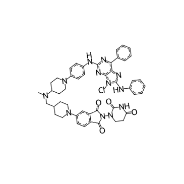 CN(CC1CCN(c2ccc3c(c2)C(=O)N(N2CCC(=O)NC2=O)C3=O)CC1)C1CCN(c2ccc(Nc3nc(-c4ccccc4)c4nc(Nc5ccccc5)n(Cl)c4n3)cc2)CC1